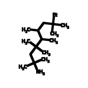 CCC(C)(C)CC(C)C(C)C(C)(C)CC(C)(C)N